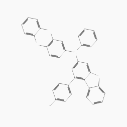 Clc1ccc(-c2cc(N(c3ccccc3)c3ccc4c(c3)Oc3ccccc3O4)cc3sc4ccccc4c23)cc1